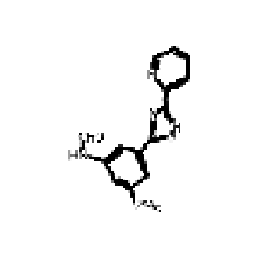 COc1cc(NC=O)cc(-c2nc(-c3ccccn3)no2)c1